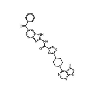 O=C(c1ccccc1)c1ccc2nc(NC(=O)c3csc(C4CCN(c5ncnc6nc[nH]c56)CC4)n3)[nH]c2c1